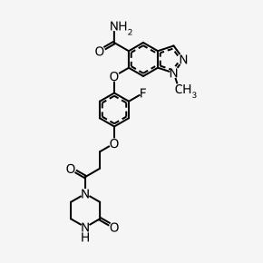 Cn1ncc2cc(C(N)=O)c(Oc3ccc(OCCC(=O)N4CCNC(=O)C4)cc3F)cc21